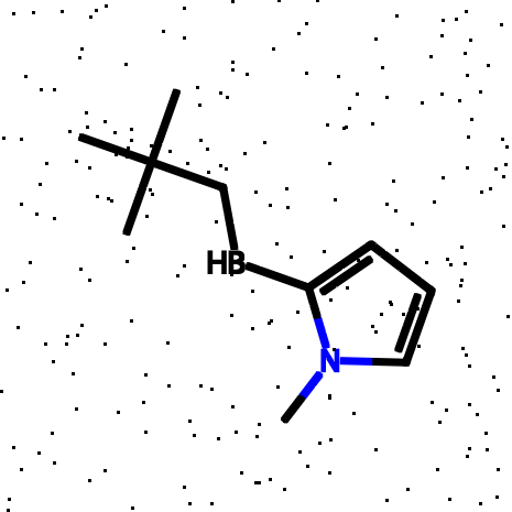 Cn1cccc1BCC(C)(C)C